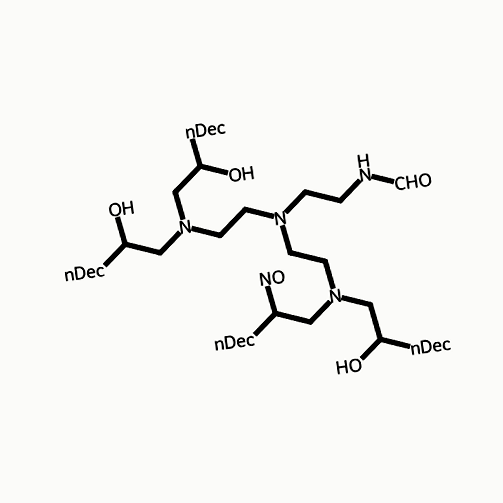 CCCCCCCCCCC(O)CN(CCN(CCNC=O)CCN(CC(O)CCCCCCCCCC)CC(CCCCCCCCCC)N=O)CC(O)CCCCCCCCCC